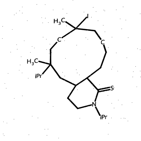 CC(C)N1CCC2CC(C)(C(C)C)CCC(C)(I)CCCCC2C1=S